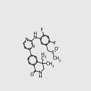 C[S+]([O-])Cc1cc(Nc2nccc(-c3ccc4c(c3)C(C)(C)CNC4=O)n2)c(F)cc1F